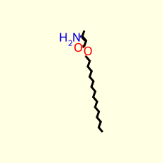 CCCCCCCCCCCCCCCCOC(=O)C=C(C)N